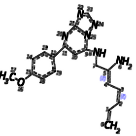 C=C/C=C\C=C(/N)CNc1cc(-c2ccc(OC)cc2)nc2ncnn12